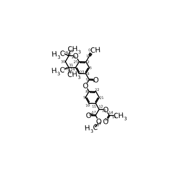 C#Cc1cc(C(=O)Oc2ccc(C(OC(C)=O)C(=O)OC)cc2)cc2c1OC(C)(C)CC2(C)C